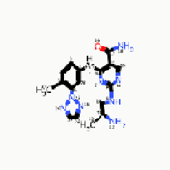 Cc1ccc([AsH]c2nc(NC[C@H](C)N)ncc2C(N)=O)cc1-n1nccn1